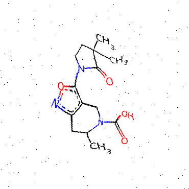 CC1Cc2noc(N3CCC(C)(C)C3=O)c2CN1C(=O)O